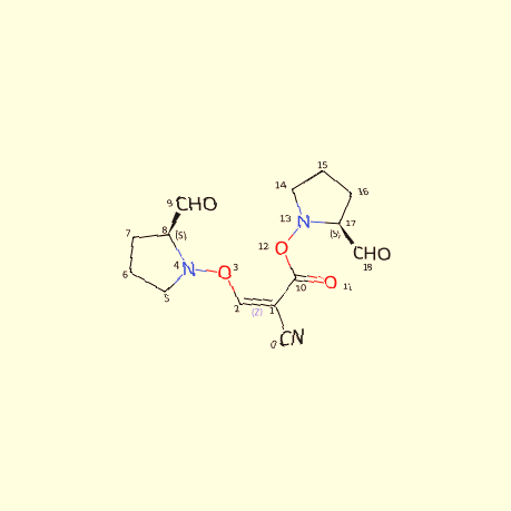 N#C/C(=C/ON1CCC[C@H]1C=O)C(=O)ON1CCC[C@H]1C=O